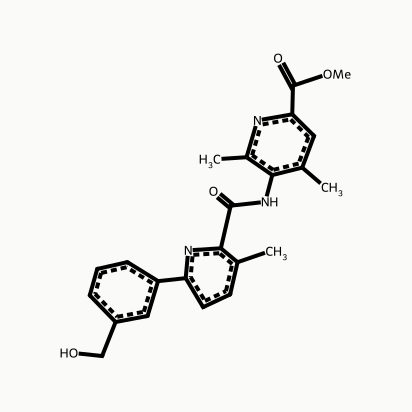 COC(=O)c1cc(C)c(NC(=O)c2nc(-c3cccc(CO)c3)ccc2C)c(C)n1